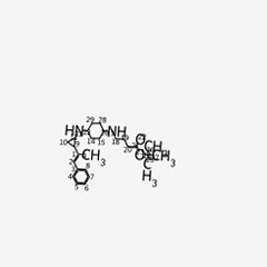 C/C(=C\c1ccccc1)C1CC1NC1CCC(NCCCC(=O)OC(C)(C)C)CC1